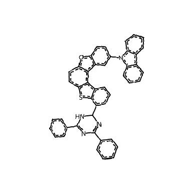 c1ccc(C2=NC(c3cccc4c3sc3ccc5oc6ccc(-n7c8ccccc8c8ccccc87)cc6c5c34)NC(c3ccccc3)=N2)cc1